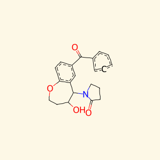 O=C(c1ccccc1)c1ccc2c(c1)C(N1CCCC1=O)C(O)CCO2